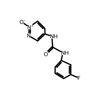 O=C(Nc1cc[n+]([O-])nc1)Nc1cccc(F)c1